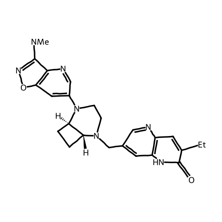 CCc1cc2ncc(CN3CCN(c4cnc5c(NC)noc5c4)[C@@H]4CC[C@H]43)cc2[nH]c1=O